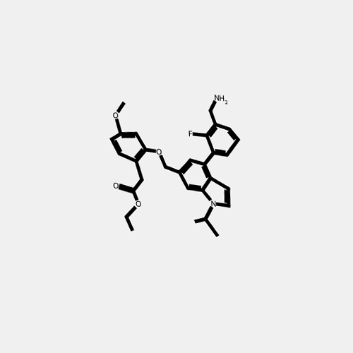 CCOC(=O)Cc1ccc(OC)cc1OCc1cc(-c2cccc(CN)c2F)c2ccn(C(C)C)c2c1